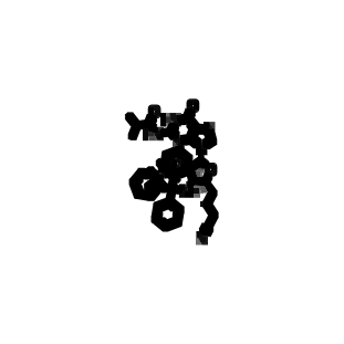 CC(C)C(=O)Nc1nc2c(ncn2[C@@H]2O[C@@H](C[CH]CC#N)[C@@H](NC(c3ccccc3)(c3ccccc3)c3ccccc3)[C@H]2O[Si](C)(C)C(C)(C)C)c(=O)[nH]1